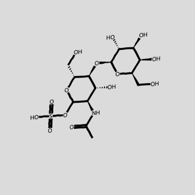 CC(=O)N[C@H]1C(OS(=O)(=O)O)O[C@H](CO)[C@@H](O[C@@H]2O[C@H](CO)[C@H](O)[C@H](O)[C@H]2O)[C@@H]1O